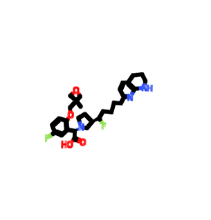 CC1(COc2ccc(F)cc2[C@@H](C(=O)O)N2CC[C@@H](C(F)CCCCc3ccc4c(n3)NCCC4)C2)COC1